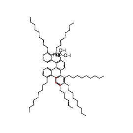 CCCCCCCCCc1cccc(-c2ccc([PH](O)(O)O)c(-c3cccc(CCCCCCCCC)c3CCCCCCCCC)c2-c2cccc(CCCCCCCCC)c2CCCCCCCCC)c1CCCCCCCCC